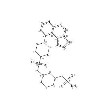 NS(=O)(=O)CC1CCCN(CS(=O)(=O)C2CCC(c3ccnc4cnc5[nH]ccc5c34)CC2)C1